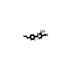 CCCc1ccc(-c2ncc(C#N)c(O)n2)cc1